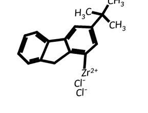 CC(C)(C)c1c[c]([Zr+2])c2c(c1)-c1ccccc1C2.[Cl-].[Cl-]